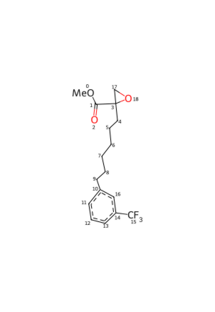 COC(=O)C1(CCCCCCc2cccc(C(F)(F)F)c2)CO1